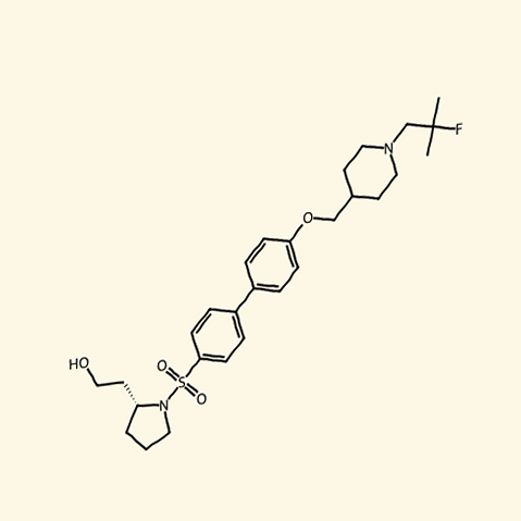 CC(C)(F)CN1CCC(COc2ccc(-c3ccc(S(=O)(=O)N4CCC[C@@H]4CCO)cc3)cc2)CC1